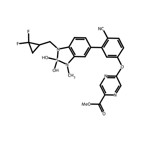 COC(=O)c1cnc(Oc2ccc(C#N)c(-c3ccc4c(c3)N(C)S(O)(O)N4CC3CC3(F)F)c2)cn1